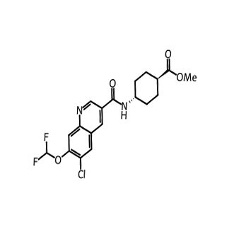 COC(=O)[C@H]1CC[C@H](NC(=O)c2cnc3cc(OC(F)F)c(Cl)cc3c2)CC1